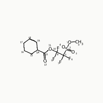 COS(=O)(=O)C(F)(F)C(F)(F)OC(=O)C1CCCCC1